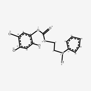 CCN(CCOC(=O)Oc1cc(Cl)c(Cl)cc1Cl)c1ccccc1